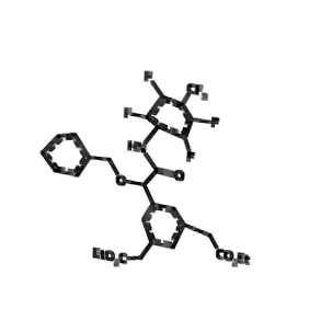 CCOC(=O)Cc1cc(CC(=O)OCC)cc(C(OCc2ccccc2)C(=O)Nc2c(F)c(F)c(C(F)(F)F)c(F)c2F)c1